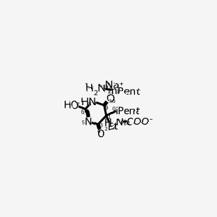 CCCC(C)C1(CC)C(=O)N=C(O)NC1=O.CCCCCN.NC(=O)[O-].[Na+]